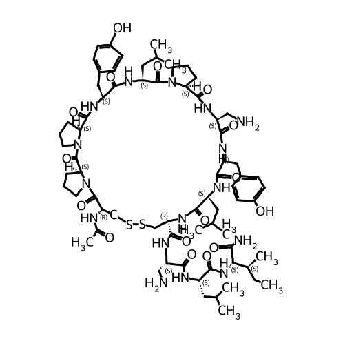 CC[C@H](C)[C@H](NC(=O)[C@H](CC(C)C)NC(=O)[C@H](CN)NC(=O)[C@@H]1CSSC[C@H](NC(C)=O)C(=O)N2CCC[C@H]2C(=O)N2CCC[C@H]2C(=O)N[C@@H](Cc2ccc(O)cc2)C(=O)N[C@@H](CC(C)C)C(=O)N2CCC[C@H]2C(=O)N[C@@H](CN)C(=O)N[C@@H](Cc2ccc(O)cc2)C(=O)N[C@@H](CC(C)C)C(=O)N1)C(N)=O